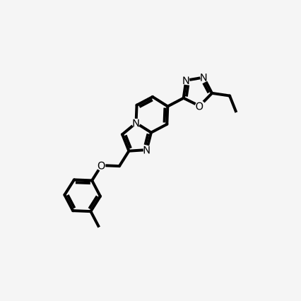 CCc1nnc(-c2ccn3cc(COc4cccc(C)c4)nc3c2)o1